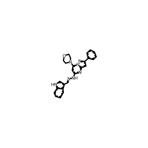 C(=NNc1cc(N2CCOCC2)n2nc(-c3ccccc3)cc2n1)c1c[nH]c2ccccc12